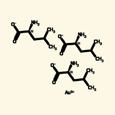 CC(C)C[C@H](N)C(=O)[O-].CC(C)C[C@H](N)C(=O)[O-].CC(C)C[C@H](N)C(=O)[O-].[Au+3]